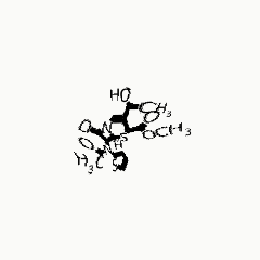 COC(=O)C1S[C@@H]2C(N(C(C)=O)c3cccs3)C(=O)N2C=C1C(C)O